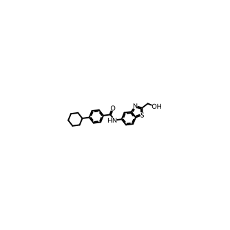 O=C(Nc1ccc2sc(CO)nc2c1)c1ccc(C2CCCCC2)cc1